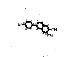 N#Cc1cc2ccc(C3C=CC(Br)=CC3)cc2cc1C#N